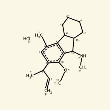 C=CC(C)c1cc(C)c2c(c1OC)C(NC)C1CCCCC21.Cl